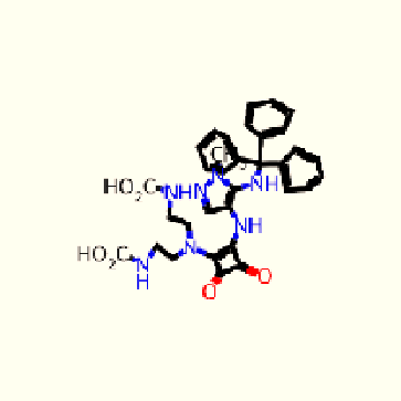 Cn1ncc(Nc2c(N(CCNC(=O)O)CCNC(=O)O)c(=O)c2=O)c1NC(c1ccccc1)(c1ccccc1)c1ccccc1